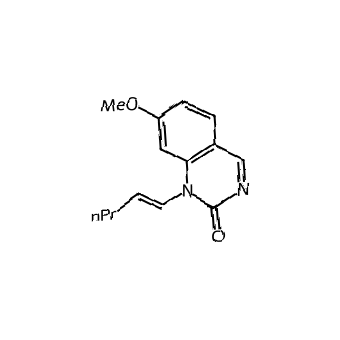 CCCC=Cn1c(=O)ncc2ccc(OC)cc21